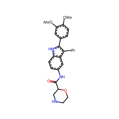 COc1ccc(-c2[nH]c3ccc(NC(=O)C4CNCCO4)cc3c2C(C)C)cc1OC